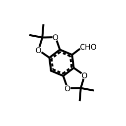 CC1(C)Oc2cc3c(c(C=O)c2O1)OC(C)(C)O3